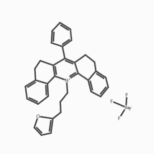 F[B-](F)(F)F.c1ccc(-c2c3c([n+](CCCc4ccco4)c4c2CCc2ccccc2-4)-c2ccccc2CC3)cc1